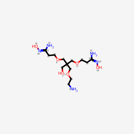 NCCOCC(CO)(COCC/C(N)=N/O)COCC/C(N)=N\O